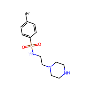 CC(C)c1ccc(S(=O)(=O)NCCN2CCNCC2)cc1